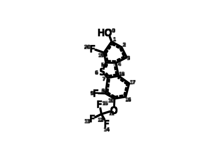 Oc1ccc2c(sc3c(F)c(OC(F)(F)F)ccc32)c1F